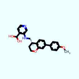 COc1ccc(-c2ccc3c(c2)OCC[C@@H]3CNc2cnccc2C(O)O)cc1